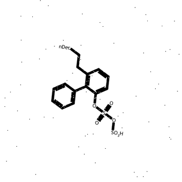 CCCCCCCCCCCCc1cccc(OS(=O)(=O)OS(=O)(=O)O)c1-c1ccccc1